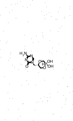 Nc1ncn(C[C@H]2CO[PH](O)(O)CO2)c(=O)n1